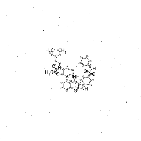 CCN(CC)CCN(c1ccc(NC(=C2C(=O)Nc3ccc(S(=O)(=O)Nc4ccccc4)cc32)c2ccccc2)cc1)S(C)(=O)=O